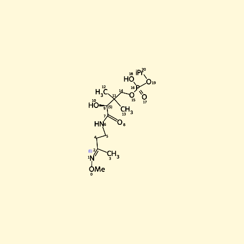 CO/N=C(\C)CCNC(=O)[C@@H](O)C(C)(C)COP(=O)(O)OC(C)C